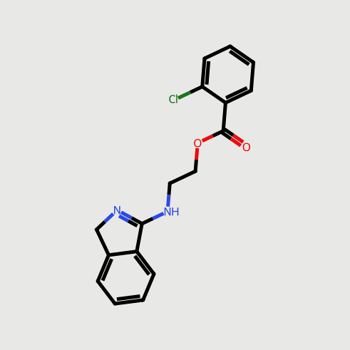 O=C(OCCNC1=NCc2ccccc21)c1ccccc1Cl